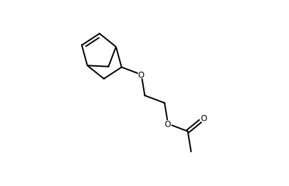 CC(=O)OCCOC1CC2C=CC1C2